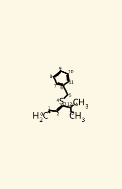 C=C/C=C(\SCc1ccccc1)C(C)C